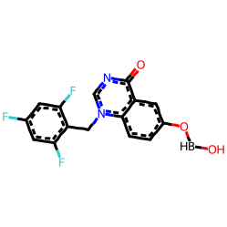 O=c1ncn(Cc2c(F)cc(F)cc2F)c2ccc(OBO)cc12